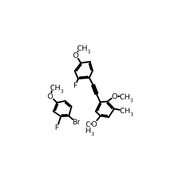 COc1ccc(Br)c(F)c1.COc1ccc(C#Cc2cc(OC)cc(C)c2OC)c(F)c1